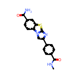 CNC(=O)c1ccc(-c2cn3c(n2)sc2cc(C(N)=O)ccc23)cc1